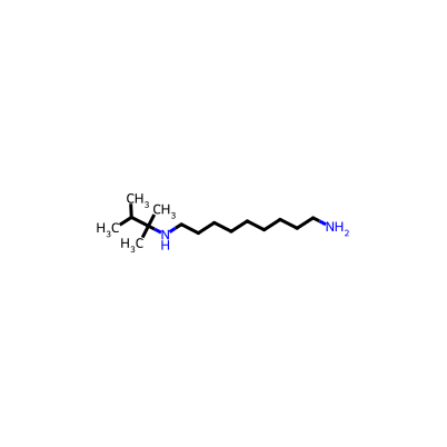 CC(C)C(C)(C)NCCCCCCCCCN